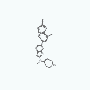 Cc1cn2cc(-c3cnc4nc(N(C)C5CCNCC5)sc4n3)cc(C)c2n1